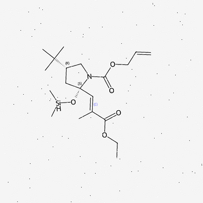 C=CCOC(=O)N1C[C@@H](C(C)(C)C)C[C@@]1(/C=C(\C)C(=O)OCC)O[SiH](C)C